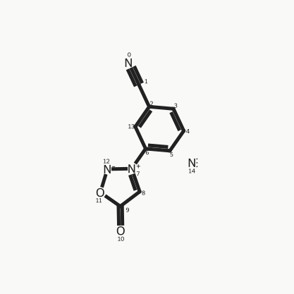 N#Cc1cccc(-[n+]2cc(=O)o[n-]2)c1.[N]